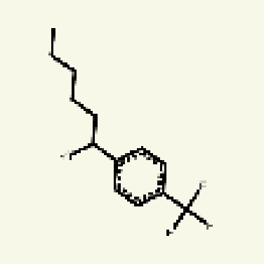 CCCCCC([O])c1ccc(C(F)(F)F)cc1